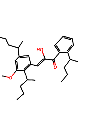 CCCC(C)c1cc(C=C(O)C(=O)c2ccccc2C(C)CCC)c(C(C)CCC)c(OC)c1